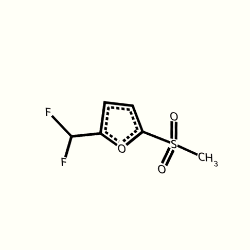 CS(=O)(=O)c1ccc(C(F)F)o1